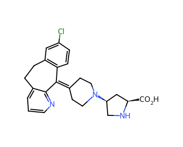 O=C(O)[C@@H]1C[C@H](N2CCC(=C3c4ccc(Cl)cc4CCc4cccnc43)CC2)CN1